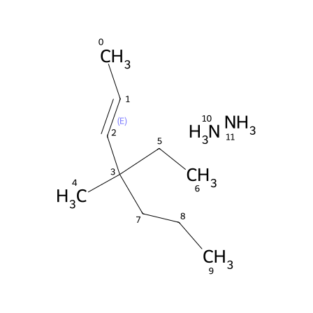 C/C=C/C(C)(CC)CCC.N.N